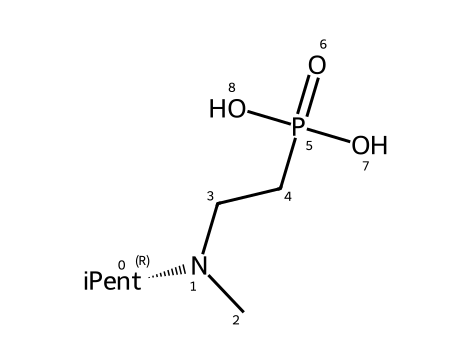 CCC[C@@H](C)N(C)CCP(=O)(O)O